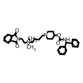 C[N+](C)(CCCCN1CCC(OC(=O)NC(c2ccccc2)c2ccccc2)CC1)CCN1C(=O)c2ccccc2C1=O